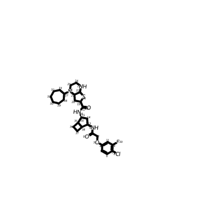 O=C(COc1ccc(Cl)c(F)c1)NC1C[C@H](NC(=O)C2CC3C(NCCN3C3CCCCCC3)S2)C2CCC12